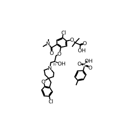 CN(C)C(=O)c1cc(Cl)c(OC(C)(C)C(=O)O)cc1OC[C@@H](O)CN1CCC2(CC1)Cc1cc(Cl)ccc1O2.Cc1ccc(S(=O)(=O)O)cc1